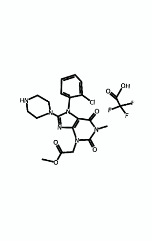 COC(=O)Cn1c(=O)n(C)c(=O)c2c1nc(N1CCNCC1)n2-c1ccccc1Cl.O=C(O)C(F)(F)F